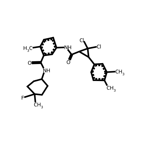 Cc1ccc(C2C(C(=O)Nc3ccc(C)c(C(=O)NC4CCC(C)(F)CC4)c3)C2(Cl)Cl)cc1C